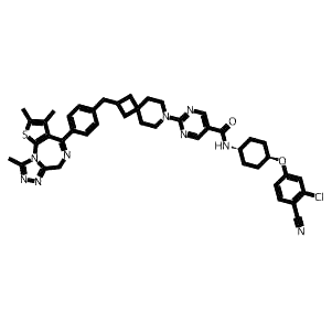 Cc1sc2c(c1C)C(c1ccc(CC3CC4(CCN(c5ncc(C(=O)N[C@H]6CC[C@H](Oc7ccc(C#N)c(Cl)c7)CC6)cn5)CC4)C3)cc1)=NCc1nnc(C)n1-2